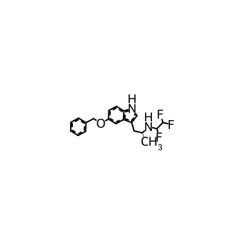 C[C@H](Cc1c[nH]c2ccc(OCc3ccccc3)cc12)NC(F)C(F)F